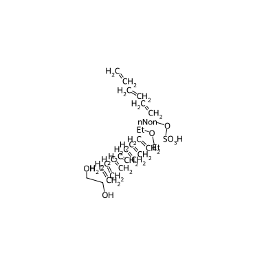 C=C.C=C.C=C.C=C.C=C.C=C.C=C.C=C.C=C.C=C.CCCCCCCCCOS(=O)(=O)O.CCOCC.OCCO